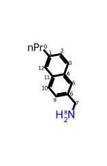 CCCc1ccc2cc(CN)ccc2c1